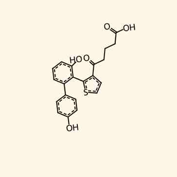 O=C(O)CCCC(=O)c1ccsc1-c1c(O)cccc1-c1ccc(O)cc1